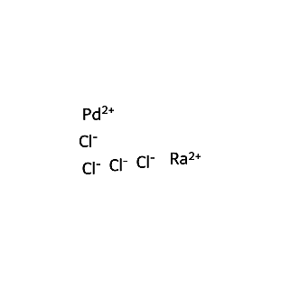 [Cl-].[Cl-].[Cl-].[Cl-].[Pd+2].[Ra+2]